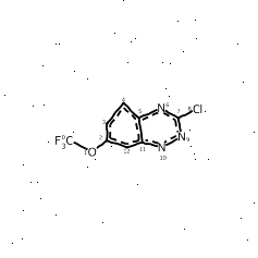 FC(F)(F)Oc1ccc2nc(Cl)nnc2c1